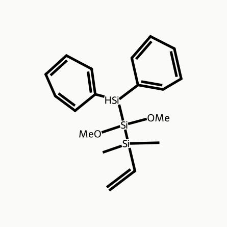 C=C[Si](C)(C)[Si](OC)(OC)[SiH](c1ccccc1)c1ccccc1